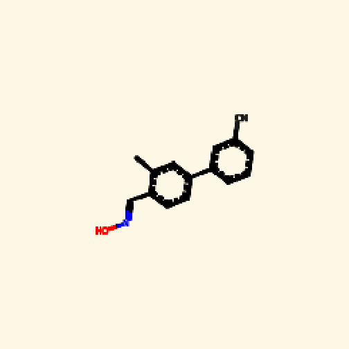 Cc1cc(-c2cccc(C#N)c2)ccc1C=NO